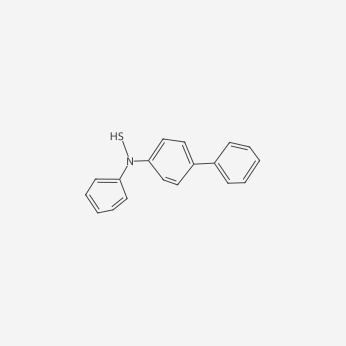 SN(c1ccccc1)c1ccc(-c2ccccc2)cc1